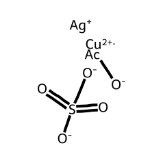 CC(=O)[O-].O=S(=O)([O-])[O-].[Ag+].[Cu+2]